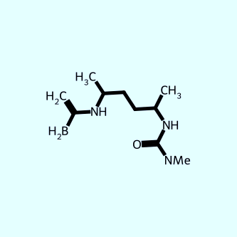 BC(=C)NC(C)CCC(C)NC(=O)NC